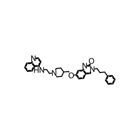 O=c1nc2cc(OCC3CCN(CCNc4ccnc5ccccc45)CC3)ccc2cn1CCCc1ccccc1